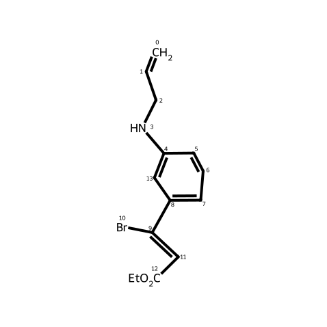 C=CCNc1cccc(/C(Br)=C/C(=O)OCC)c1